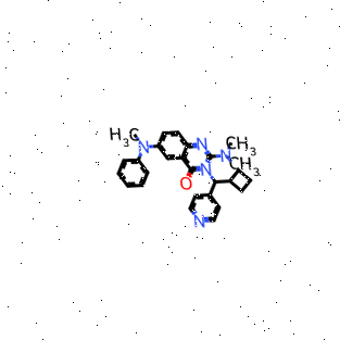 CN(C)c1nc2ccc(N(C)c3ccccc3)cc2c(=O)n1C(c1ccncc1)C1CCC1